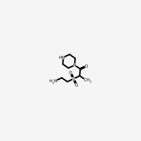 CC(C(=O)N1CCNCC1)S(=O)(=O)CCN